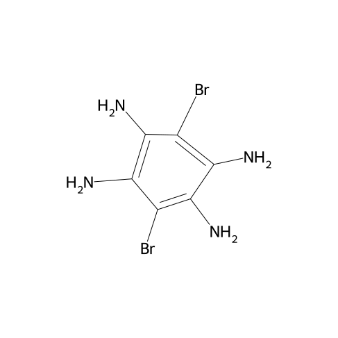 Nc1c(N)c(Br)c(N)c(N)c1Br